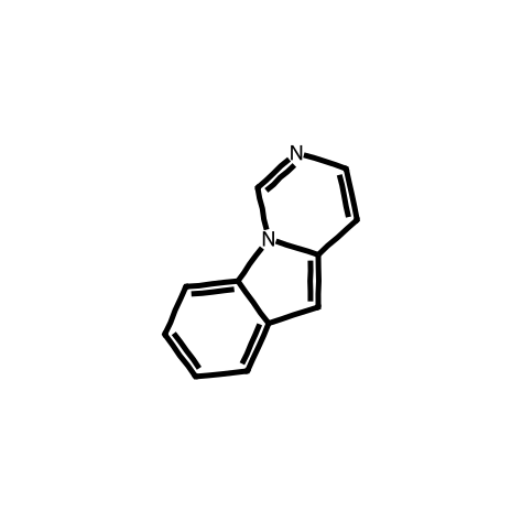 c1ccc2c(c1)cc1ccncn12